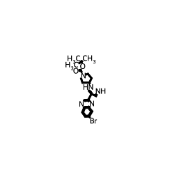 CC(C)(C)OC(=O)N1CCC(N/C=C(\C=N)c2cnc3ccc(Br)cc3n2)CC1